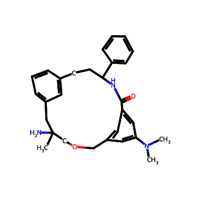 CN(C)c1cc2cc(c1)C(=O)NC(c1ccccc1)CCc1cccc(c1)CC(C)(N)COC2